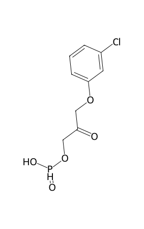 O=C(COc1cccc(Cl)c1)CO[PH](=O)O